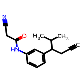 C#CCC(c1cccc(NC(=O)CC#N)c1)C(C)C